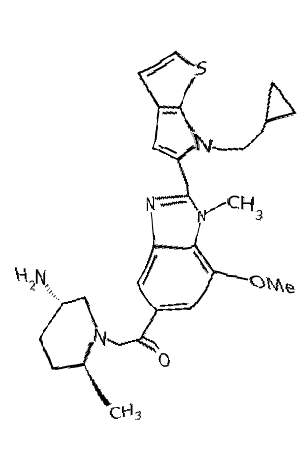 COc1cc(C(=O)N2C[C@@H](N)CC[C@@H]2C)cc2nc(-c3cc4ccsc4n3CC3CC3)n(C)c12